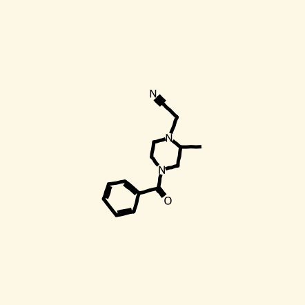 CC1CN(C(=O)c2ccccc2)CCN1CC#N